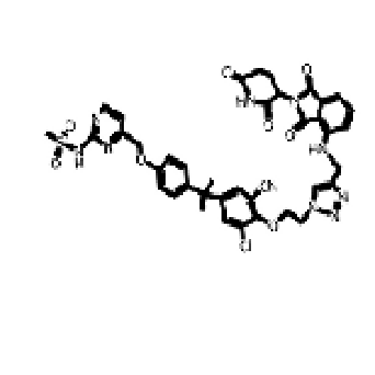 CC(C)(c1ccc(OCc2ccnc(NS(C)(=O)=O)n2)cc1)c1cc(Cl)c(OCCn2cc(CNc3cccc4c3C(=O)N(C3CCC(=O)NC3=O)C4=O)nn2)c(C#N)c1